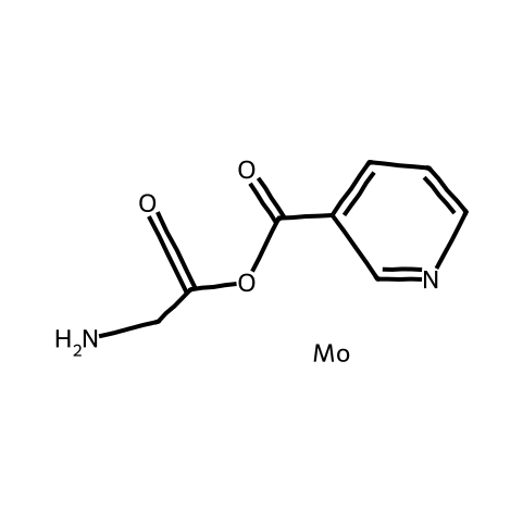 NCC(=O)OC(=O)c1cccnc1.[Mo]